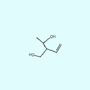 C=CC(CO)C(C)O